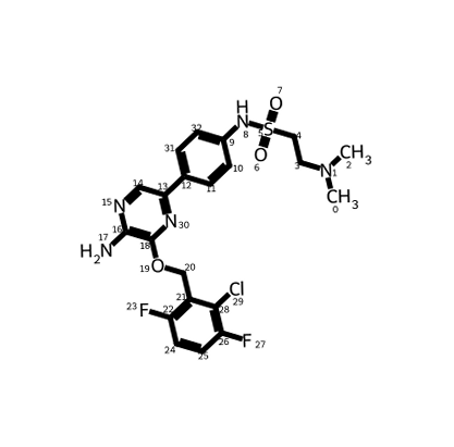 CN(C)CCS(=O)(=O)Nc1ccc(-c2cnc(N)c(OCc3c(F)ccc(F)c3Cl)n2)cc1